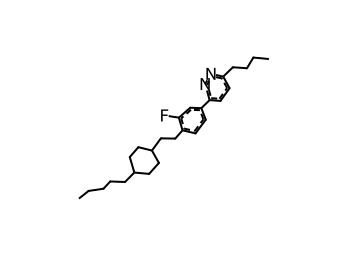 CCCCCC1CCC(CCc2ccc(-c3ccc(CCCC)nn3)cc2F)CC1